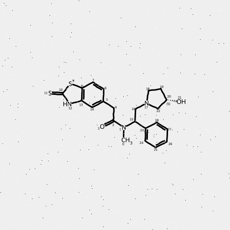 CN(C(=O)Cc1ccc2sc(=S)[nH]c2c1)C(CN1CC[C@H](O)C1)c1ccccc1